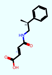 C[C@H](CNC(=O)/C=C/C(=O)O)c1ccccc1